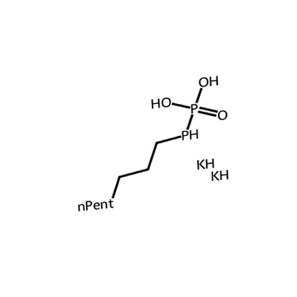 CCCCCCCCPP(=O)(O)O.[KH].[KH]